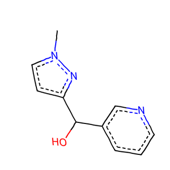 Cn1ccc(C(O)c2cccnc2)n1